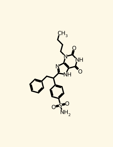 CCCCn1c(=O)[nH]c(=O)c2[nH]c(C(Cc3ccccc3)c3ccc(S(N)(=O)=O)cc3)nc21